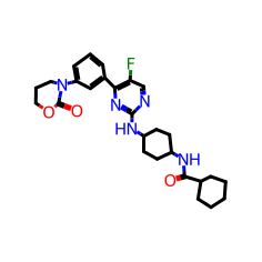 O=C(NC1CCC(Nc2ncc(F)c(-c3cccc(N4CCCOC4=O)c3)n2)CC1)C1CCCCC1